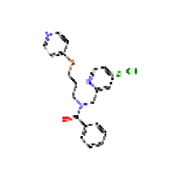 Cl.Cl.O=C(c1ccccc1)N(CCCSc1ccncc1)Cc1ccccn1